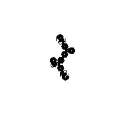 c1ccc(N(c2ccc(-c3ccc(N(c4ccc(-c5nc6cccnc6o5)cc4)c4coc5ccccc45)cc3)cc2)c2ccc(-c3nc4cccnc4o3)cc2)cc1